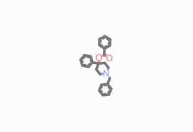 O=C(OC1(c2ccccc2)CCN(Cc2ccccc2)CC1)c1ccccc1